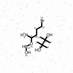 CC(C)(O)C(C)(C)O.NC(CCCBr)OBO